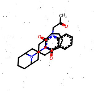 CC(=O)Cn1c(=O)n(C2CC3CCCC(C2)N3C2CC3CCCCC(C3)C2)c(=O)c2ccccc21